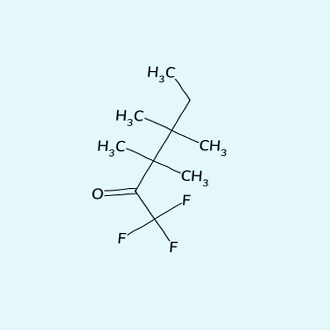 CCC(C)(C)C(C)(C)C(=O)C(F)(F)F